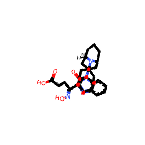 O=C(O)CCC(=NO)c1nc2ccccc2n(C2CC3CCC[C@@H](C2)N3C2CC3CCCC(C3)C2)c1=O